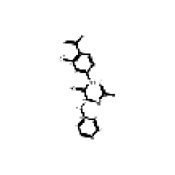 C=C(C)c1ccc(NC(=O)[C@@H](Cc2ccccc2)NC(C)=O)cc1Cl